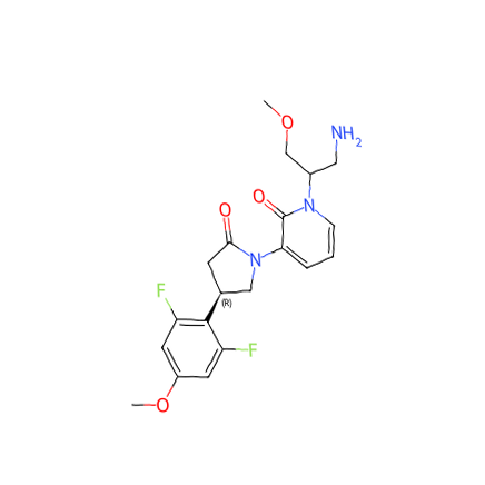 COCC(CN)n1cccc(N2C[C@@H](c3c(F)cc(OC)cc3F)CC2=O)c1=O